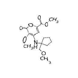 COCC1(Nc2cc(C(=O)OC)oc(=O)c2OC)CCCC1